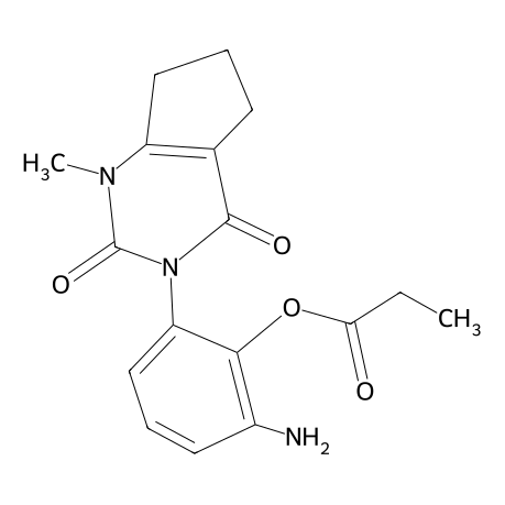 CCC(=O)Oc1c(N)cccc1-n1c(=O)c2c(n(C)c1=O)CCC2